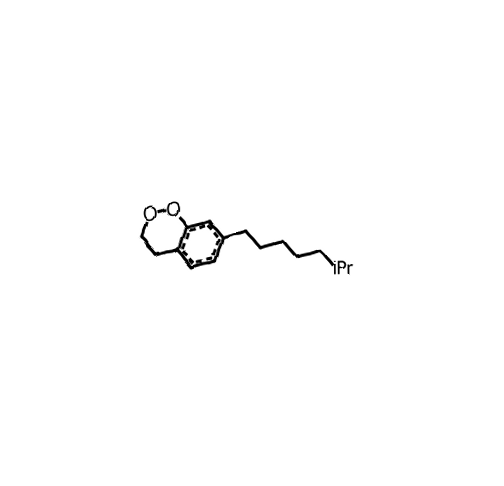 CC(C)CCCCCc1ccc2c(c1)OOCC2